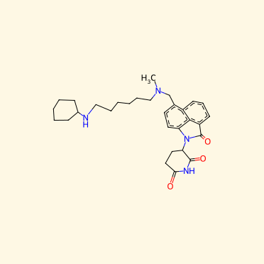 CN(CCCCCCNC1CCCCC1)Cc1ccc2c3c(cccc13)C(=O)N2C1CCC(=O)NC1=O